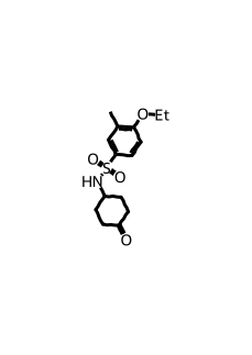 CCOc1ccc(S(=O)(=O)NC2CCC(=O)CC2)cc1C